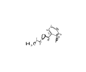 CC[CH]OCc1ccccc1F